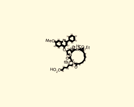 CCOC(=O)C12CC1/C=C\CCCC(=O)N(CCCCCC(=O)O)[C@@H](C(C)(C)C)C(=O)N1C[C@H](Oc3cc(-c4ccccc4)nc4cc(OC)ccc34)C[C@H]1C(=O)N2